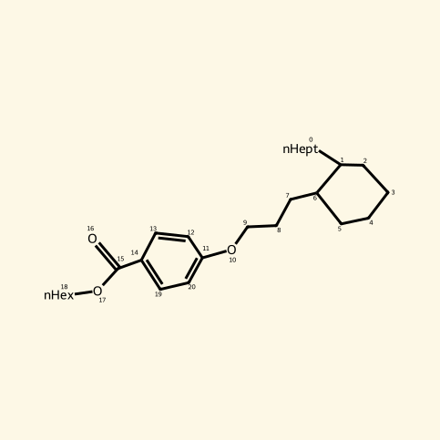 CCCCCCCC1CCCCC1CCCOc1ccc(C(=O)OCCCCCC)cc1